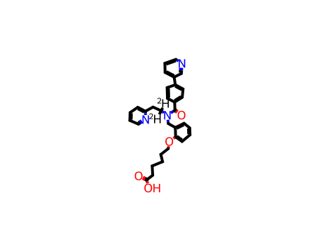 [2H]C([2H])(Cc1ccccn1)N(Cc1ccccc1OCCCCCC(=O)O)C(=O)c1ccc(-c2cccnc2)cc1